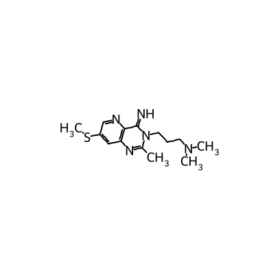 CSc1cnc2c(=N)n(CCCN(C)C)c(C)nc2c1